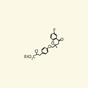 CCOC(=O)C(Cl)Cc1ccc(OCC2(C)CC(=O)c3cc(F)ccc3O2)cc1